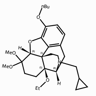 CCCCOc1ccc2c3c1O[C@H]1C(OC)(OC)CC[C@@]4(OCC)[C@@H](C2)N(CC2CC2)CC[C@]314